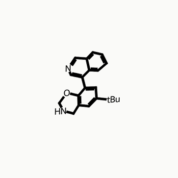 CC(C)(C)c1cc2c(c(-c3cncc4ccccc34)c1)OCNC2